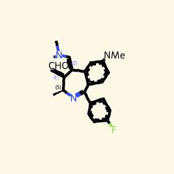 CNc1ccc2c(c1)C(=C/N(C)C)/C(=C\C=O)[C@H](C)N=C2c1ccc(F)cc1